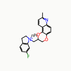 CCC[N+]1(CC2COc3ccc4nc(C)ccc4c3O2)CCc2ccc(F)cc21